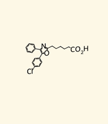 O=C(O)CCCCCc1nc(-c2ccccc2)c(-c2ccc(Cl)cc2)o1